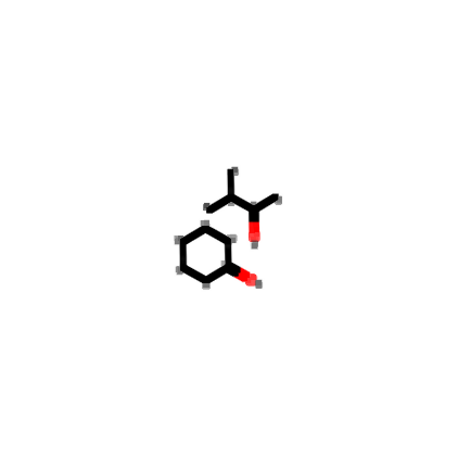 CC(=O)C(C)C.O=C1CCCCC1